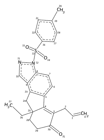 C=CCC1=C2c3ccc4c(cnn4S(=O)(=O)c4ccc(C)cc4)c3CC2(CC)CCC1=O